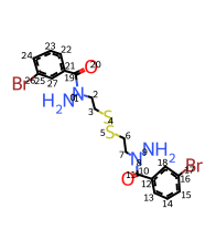 NN(CCSSCCN(N)C(=O)c1cccc(Br)c1)C(=O)c1cccc(Br)c1